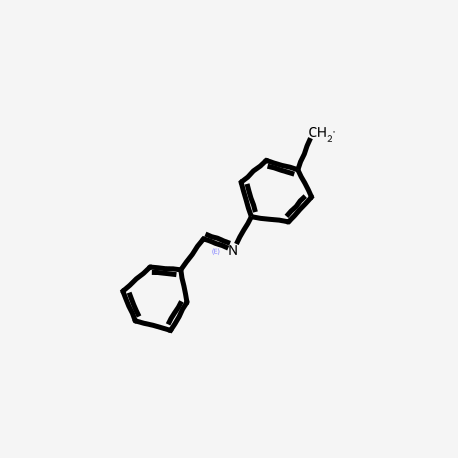 [CH2]c1ccc(/N=C/c2ccccc2)cc1